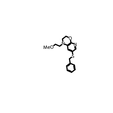 COCCN1CCOc2ncc(SCc3ccccc3)cc21